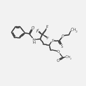 CCOC(=S)SC(COC(C)=O)CC(NC(=O)c1ccccc1)C(F)(F)F